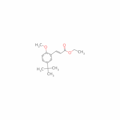 CCOC(=O)C=Cc1cc(C(C)(C)C)ccc1OC